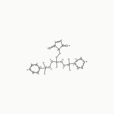 CC(CCN1C(=O)C=CC1=O)(OOC(C)(C)c1ccccc1)OOC(C)(C)c1ccccc1